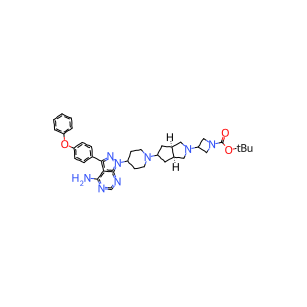 CC(C)(C)OC(=O)N1CC(N2C[C@H]3CC(N4CCC(n5nc(-c6ccc(Oc7ccccc7)cc6)c6c(N)ncnc65)CC4)C[C@H]3C2)C1